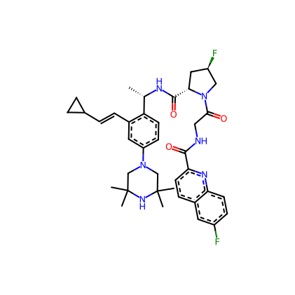 C[C@H](NC(=O)[C@@H]1C[C@@H](F)CN1C(=O)CNC(=O)c1ccc2cc(F)ccc2n1)c1ccc(N2CC(C)(C)NC(C)(C)C2)cc1/C=C/C1CC1